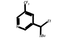 CCCCC(CC)c1cncc(C(F)(F)F)c1